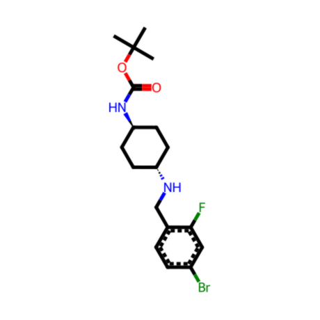 CC(C)(C)OC(=O)N[C@H]1CC[C@H](NCc2ccc(Br)cc2F)CC1